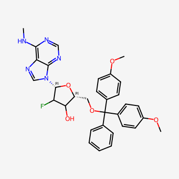 CNc1ncnc2c1ncn2[C@@H]1O[C@H](COC(c2ccccc2)(c2ccc(OC)cc2)c2ccc(OC)cc2)C(O)C1F